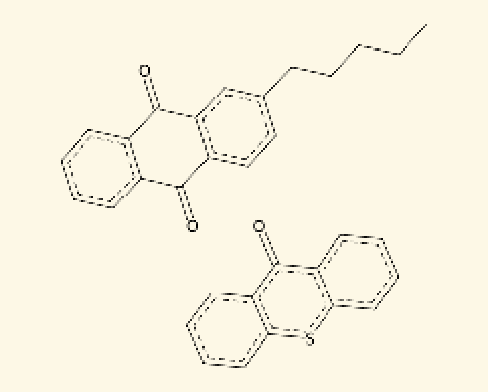 CCCCCc1ccc2c(c1)C(=O)c1ccccc1C2=O.O=c1c2ccccc2sc2ccccc12